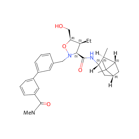 CC[C@@H]1[C@H](CO)ON(Cc2cccc(-c3cccc(C(=O)NC)c3)c2)[C@@H]1C(=O)N[C@H]1C[C@H]2C[C@@H]([C@@H]1C)C2(C)C